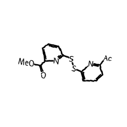 COC(=O)c1cccc(SSc2cccc(C(C)=O)n2)n1